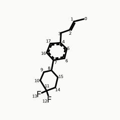 CC=CCc1ccc(C2CCC(F)(F)CC2)cc1